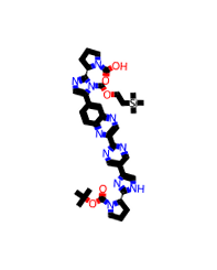 CC(C)(C)OC(=O)N1CCC[C@H]1c1nc(-c2cnc(-c3cnc4cc(-c5cnc([C@@H]6CCCN6C(=O)O)n5COCC[Si](C)(C)C)ccc4n3)nc2)c[nH]1